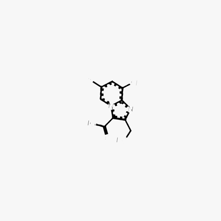 CCc1nc2c(C)cc(Br)cn2c1C(=O)O